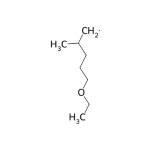 [CH2]C(C)CCCOCC